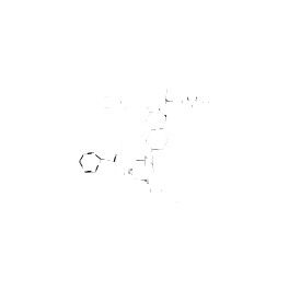 CCOC(=O)C1CC2CC(N3C[C@@H](OC(=O)c4ccccc4)C[C@H](C(=O)OCC)C3)CCC2CN1C(=O)OC